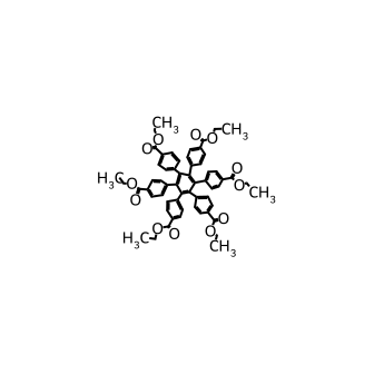 CCOC(=O)c1ccc(-c2c(-c3ccc(C(=O)OCC)cc3)c(-c3ccc(C(=O)OCC)cc3)c(-c3ccc(C(=O)OCC)cc3)c(-c3ccc(C(=O)OCC)cc3)c2-c2ccc(C(=O)OCC)cc2)cc1